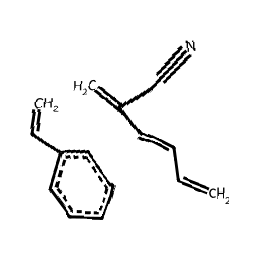 C=CC=CC(=C)C#N.C=Cc1ccccc1